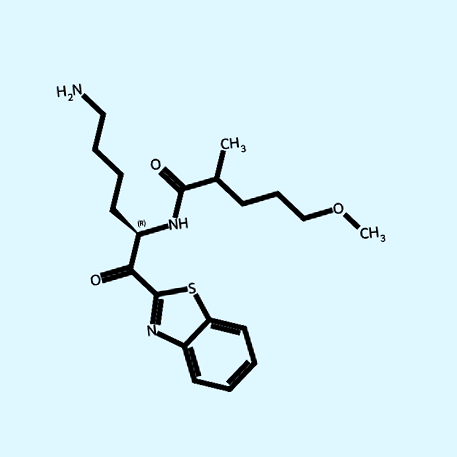 COCCCC(C)C(=O)N[C@H](CCCCN)C(=O)c1nc2ccccc2s1